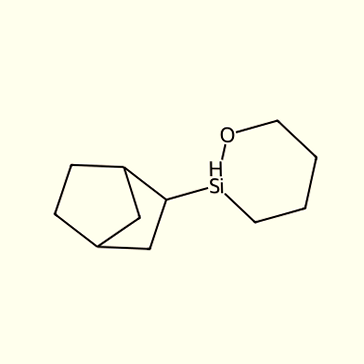 C1CC[SiH](C2CC3CCC2C3)OC1